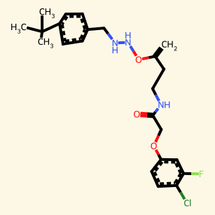 C=C(CCNC(=O)COc1ccc(Cl)c(F)c1)ONNCc1ccc(C(C)(C)C)cc1